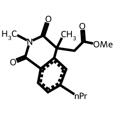 CCCc1ccc2c(c1)C(C)(CC(=O)OC)C(=O)N(C)C2=O